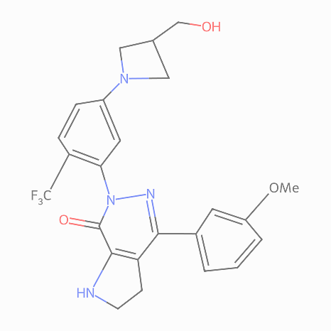 COc1cccc(-c2nn(-c3cc(N4CC(CO)C4)ccc3C(F)(F)F)c(=O)c3c2CCN3)c1